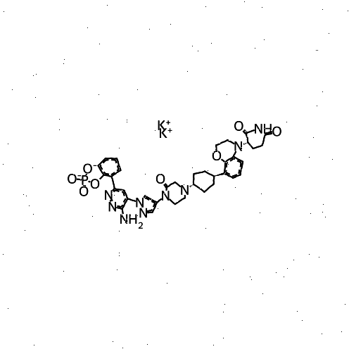 Nc1nnc(-c2ccccc2OP(=O)([O-])[O-])cc1-n1cc(N2CCN([C@H]3CC[C@H](c4cccc5c4OCCN5[C@H]4CCC(=O)NC4=O)CC3)CC2=O)cn1.[K+].[K+]